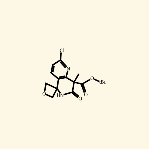 CC(C)(C)OC(=O)C1(C)C(=O)NC2(COC2)c2ccc(Cl)nc21